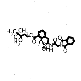 CC(C)(C)C(=O)CCOC(=O)c1cccc2c1OB(O)[C@@H](NC(=O)CN1C(=O)c3ccccc3C1=O)C2